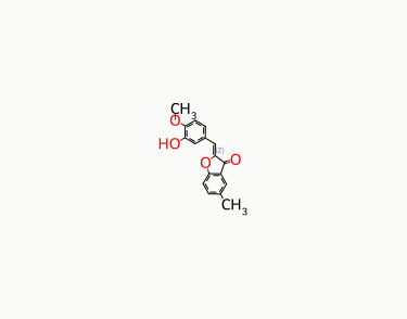 COc1ccc(/C=C2\Oc3ccc(C)cc3C2=O)cc1O